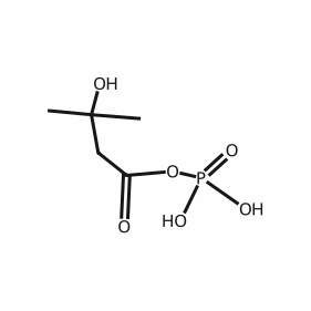 CC(C)(O)CC(=O)OP(=O)(O)O